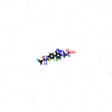 CN(C(=O)O)C1CN(c2c(F)c(Cl)c(-c3ccc4nc(NC(=O)[C@@H]5C[C@@H]5F)sc4c3)c3cn[nH]c23)C1